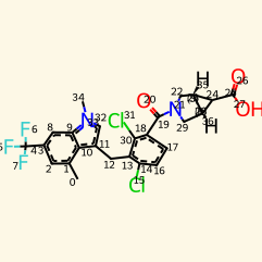 Cc1cc(C(F)(F)F)cc2c1c(Cc1c(Cl)ccc(C(=O)N3C[C@@H]4C(C(=O)O)[C@@H]4C3)c1Cl)cn2C